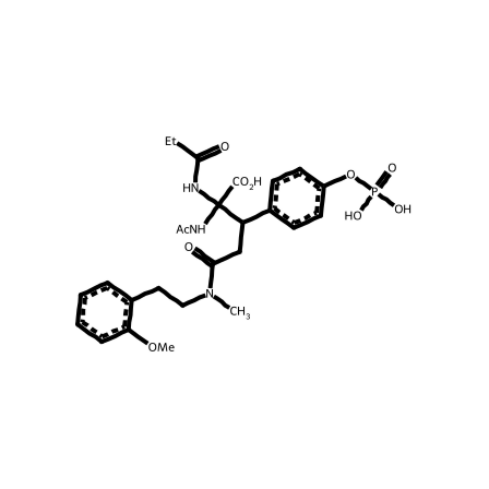 CCC(=O)NC(NC(C)=O)(C(=O)O)C(CC(=O)N(C)CCc1ccccc1OC)c1ccc(OP(=O)(O)O)cc1